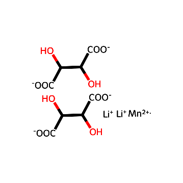 O=C([O-])C(O)C(O)C(=O)[O-].O=C([O-])C(O)C(O)C(=O)[O-].[Li+].[Li+].[Mn+2]